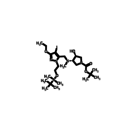 CCOc1nn(CCO[Si](C)(C)C(C)(C)C)c(CN(C)[C@H]2CN(C(=O)OC(C)(C)C)C[C@@H]2O)c1I